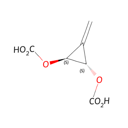 C=C1[C@H](OC(=O)O)[C@H]1OC(=O)O